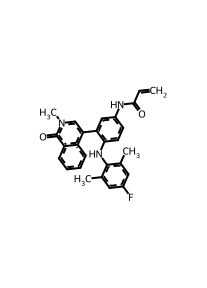 C=CC(=O)Nc1ccc(Nc2c(C)cc(F)cc2C)c(-c2cn(C)c(=O)c3ccccc23)c1